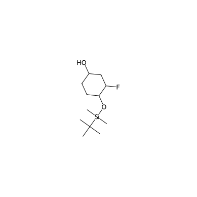 CC(C)(C)[Si](C)(C)OC1CCC(O)CC1F